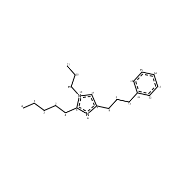 CCCCCc1nc(CCCc2ccccc2)cn1CCC